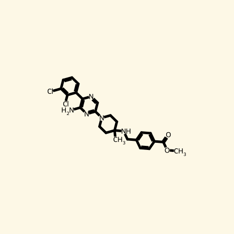 COC(=O)c1ccc(CNC2(C)CCN(c3cnc(-c4cccc(Cl)c4Cl)c(N)n3)CC2)cc1